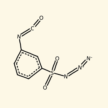 [N-]=[N+]=NS(=O)(=O)c1cccc(N=C=O)c1